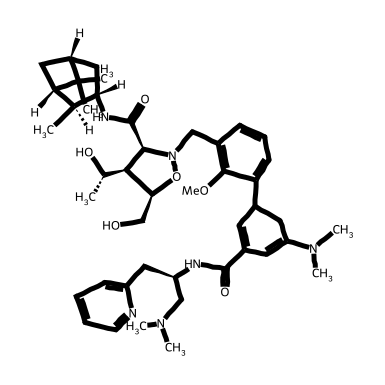 COc1c(CN2O[C@@H](CO)[C@@H]([C@H](C)O)[C@H]2C(=O)N[C@H]2C[C@H]3C[C@@H]([C@@H]2C)C3(C)C)cccc1C1C=C(C(=O)N[C@H](Cc2ccccn2)CN(C)C)C=C(N(C)C)C1